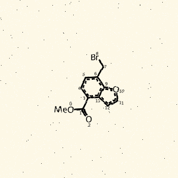 COC(=O)c1ccc(CBr)c2occc12